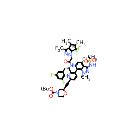 C[C@@H]1c2c(C(F)(F)F)nn(CC(=O)N[C@@H](Cc3cc(F)cc(F)c3)c3nc(C#CC4CN(C(=O)OC(C)(C)C)CCO4)ccc3-c3ccc(Cl)c4c(NS(C)(=O)=O)nn(C)c34)c2C(F)(F)[C@@H]1C